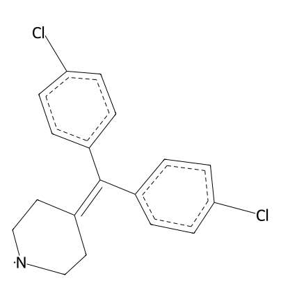 Clc1ccc(C(=C2CC[N]CC2)c2ccc(Cl)cc2)cc1